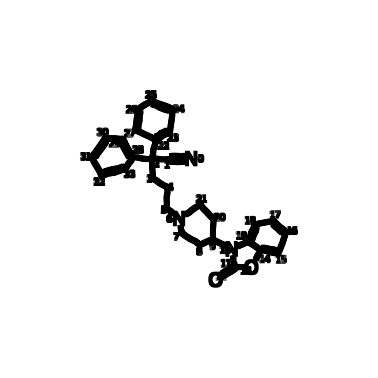 N#CC(CCCN1CCC(n2c(=O)oc3ccccc32)CC1)(c1ccccc1)c1ccccc1